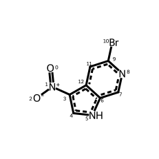 O=[N+]([O-])c1c[nH]c2cnc(Br)cc12